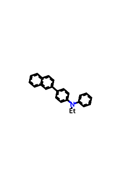 CCN(c1ccccc1)c1ccc(-c2ccc3ccccc3c2)cc1